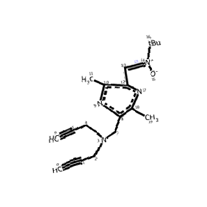 C#CCN(CC#C)Cc1nc(C)c(/C=[N+](\[O-])C(C)(C)C)nc1C